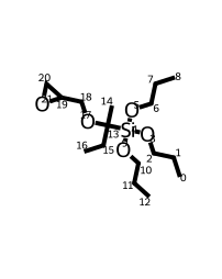 CCCO[Si](OCCC)(OCCC)C(C)(CC)OCC1CO1